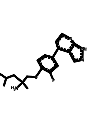 CC(C)CC(C)(N)COc1ccc(-c2ccnc3[nH]ncc23)cc1F